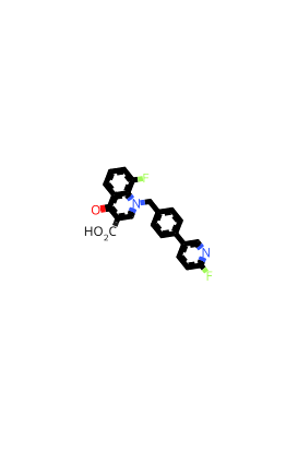 O=C(O)c1cn(Cc2ccc(-c3ccc(F)nc3)cc2)c2c(F)cccc2c1=O